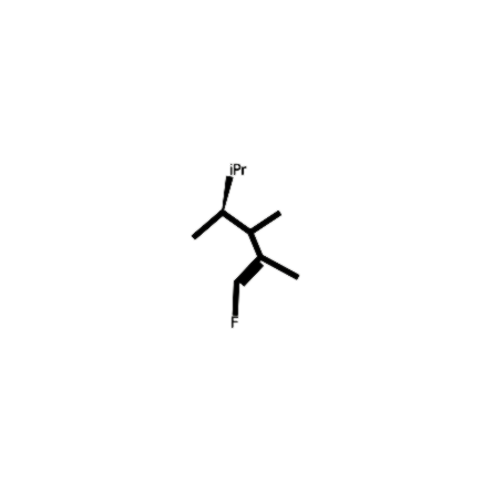 C/C(=C\F)C(C)[C@@H](C)C(C)C